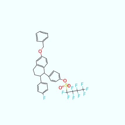 O=S(=O)(Oc1ccc(C2c3ccc(OCc4ccccc4)cc3CCC2c2ccc(F)cc2)cc1)C(F)(F)C(F)(F)C(F)(F)C(F)(F)F